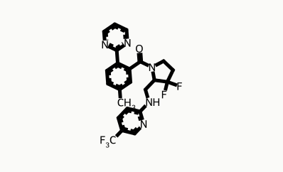 Cc1ccc(-c2ncccn2)c(C(=O)N2CCC(F)(F)C2CNc2ccc(C(F)(F)F)cn2)c1